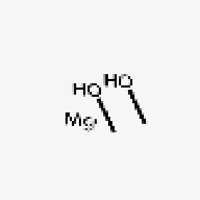 CO.CO.[Mg]